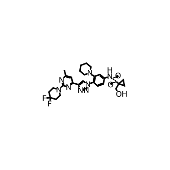 Cc1cc(-c2cn(-c3ccc(NS(=O)(=O)C4(CO)CC4)cc3N3CCCCC3)nn2)nc(N2CCC(F)(F)CC2)n1